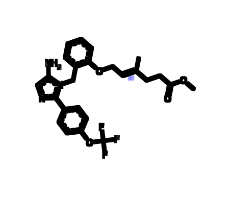 COC(=O)CC/C(C)=C/COc1ccccc1Cn1c(N)cnc1-c1ccc(OC(F)(F)F)cc1